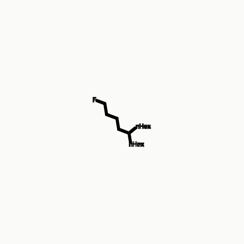 CCCCCCC(CCCCF)CCCCCC